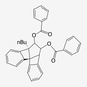 CCCC[C@@]12c3ccccc3[C@@]13c1ccccc1C3C(OC(=O)c1ccccc1)C2OC(=O)c1ccccc1